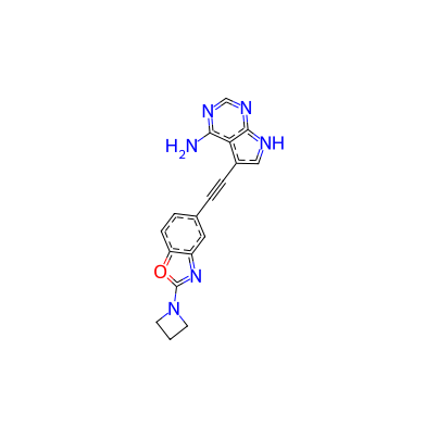 Nc1ncnc2[nH]cc(C#Cc3ccc4oc(N5CCC5)nc4c3)c12